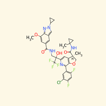 COc1cc(C(=O)NCC(O)(c2cc3c(c(-c4cc(Cl)c(F)cc4F)n2)OC[C@]3(C)C(=O)NC2(C)CC2)C(F)(F)F)cc2cn(C3CC3)nc12